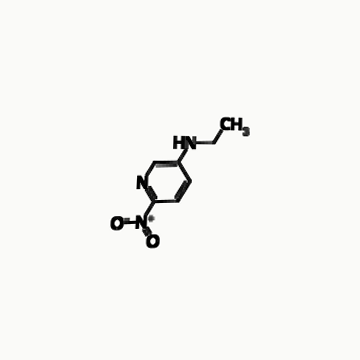 CCNc1ccc([N+](=O)[O-])nc1